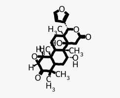 CC1(C)C(=O)[C@@H]2O[C@@H]2[C@@]2(C)C1C[C@@H](O)[C@]1(C)C2CC[C@@]2(C)[C@H](c3ccoc3)OC(=O)CC21O